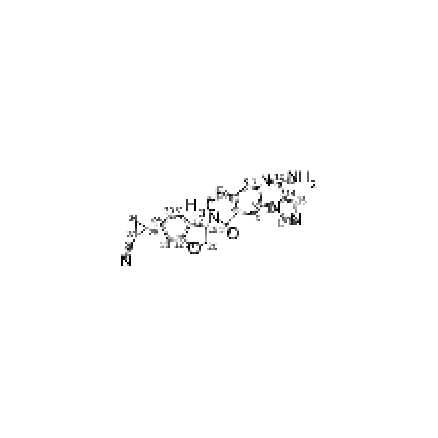 CN(C(=O)c1cc2c(cc1F)nc(N)c1cncn12)[C@@H]1COc2cc([C@H]3C[C@@H]3C#N)ccc21